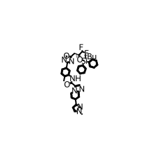 Cc1ccc(-c2noc(C[C@H](O[Si](c3ccccc3)(c3ccccc3)C(C)(C)C)C(F)F)n2)cc1NC(=O)c1cnc2cc(-c3ccn(C)n3)ccn12